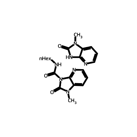 CCCCCCNC(=O)n1c(=O)n(C)c2cccnc21.Cn1c(=O)[nH]c2ncccc21